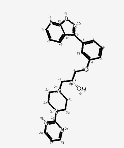 O[C@@H](COc1cccc(-c2noc3ncccc23)c1)CN1CCN(c2ncccn2)CC1